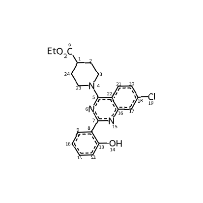 CCOC(=O)C1CCN(c2nc(-c3ccccc3O)nc3cc(Cl)ccc23)CC1